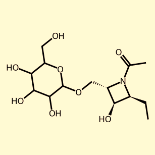 CC[C@H]1[C@@H](O)[C@H](COC2OC(CO)C(O)C(O)C2O)N1C(C)=O